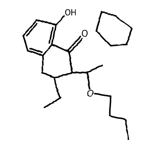 C1CCCCC1.CCCCOC(C)C1C(=O)c2c(O)cccc2CC1CC